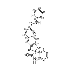 O=C1Nc2ncccc2C12Cc1cc3ccc(CNc4ccccc4)nc3cc1C2